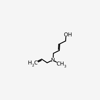 C=CCN(C)CC=CCO